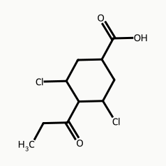 CCC(=O)C1C(Cl)CC(C(=O)O)CC1Cl